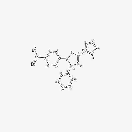 CCN(CC)c1ccc(C2CC(c3cccs3)=NN2c2ccccc2)cc1